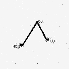 CCCCCCCCC(CCCCCCCCCCCCCCCCCCCCCCCCCCCCC(=O)OC(CS(=O)(=O)O)C(F)(F)F)CCCCCCCCCCCCCCCCCCCCC(=O)OC(CS(=O)(=O)O)C(F)(F)F